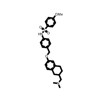 COc1ccc(S(=O)(=O)Nc2ccc(COc3ccc4c(c3)CCC(CN(C)C)C4)cc2)cc1